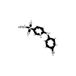 CCCCCCS(=O)(=O)c1ccc(Oc2ccc(Br)cc2)nc1